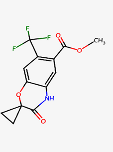 COC(=O)c1cc2c(cc1C(F)(F)F)OC1(CC1)C(=O)N2